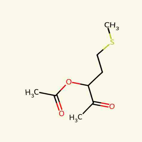 CSCCC(OC(C)=O)C(C)=O